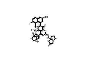 C#Cc1c(F)ccc2cc(O)cc(-c3nc(OCC)c4c(N5C[C@H]6CC[C@@H](C5)[C@@H]6O)nc(OC[C@@]56CCCN5C[C@H](F)C6)nc4c3F)c12